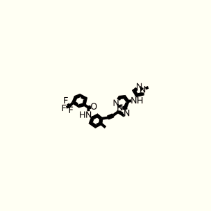 Cc1ccc(NC(=O)c2cccc(C(F)(F)F)c2)cc1C#Cc1cnc2c(Nc3cnn(C)c3)ccnn12